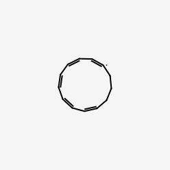 [C]1=CC=CC=CC=CC=CCCC1